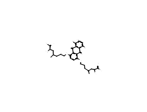 Br.Br.CC(CCCNc1ccc(NCCCC(C)CC(N)C(N)=O)c2c1C(=O)c1c(O)ccc(O)c1C2=O)CC(N)C(N)=O